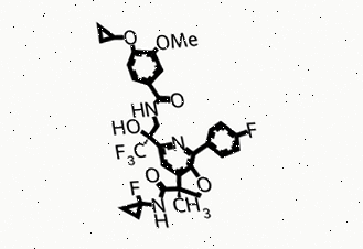 COc1cc(C(=O)NC[C@](O)(c2cc3c(c(-c4ccc(F)cc4)n2)OC[C@]3(C)C(=O)NC2(F)CC2)C(F)(F)F)ccc1OC1CC1